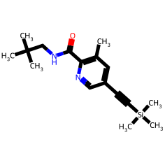 Cc1cc(C#C[Si](C)(C)C)cnc1C(=O)NCC(C)(C)C